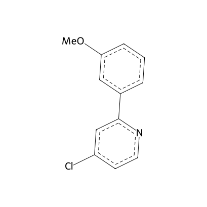 COc1cccc(-c2cc(Cl)ccn2)c1